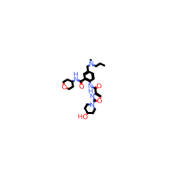 CCCN(C)Cc1ccc(NC(=O)c2coc(N3CCC(O)CC3)n2)c(C(=O)NC2CCOCC2)c1